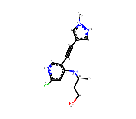 CC(C)n1cc(C#Cc2cnc(Cl)cc2N[C@@H](C)CCO)cn1